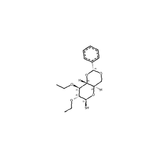 CCO[C@@H]1[C@@H](OCC)[C@H](S)O[C@@H]2CO[C@@H](c3ccccc3)O[C@@H]12